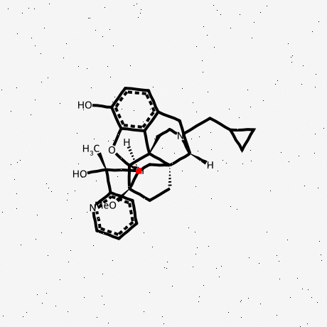 CO[C@]12CC[C@@]3(C[C@@H]1[C@@](C)(O)c1ccccn1)[C@H]1Cc4ccc(O)c5c4[C@@]3(CCN1CC1CC1)[C@H]2O5